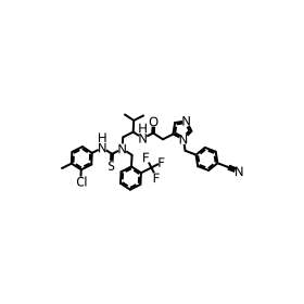 Cc1ccc(NC(=S)N(Cc2ccccc2C(F)(F)F)CC(NC(=O)Cc2cncn2Cc2ccc(C#N)cc2)C(C)C)cc1Cl